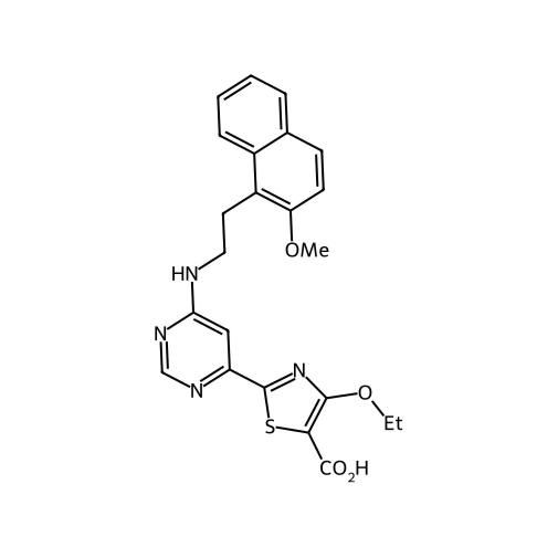 CCOc1nc(-c2cc(NCCc3c(OC)ccc4ccccc34)ncn2)sc1C(=O)O